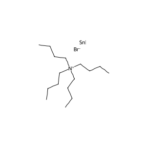 CCCC[N+](CCCC)(CCCC)CCCC.[Br-].[Sn]